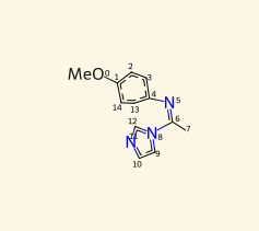 COc1ccc(N=C(C)n2ccnc2)cc1